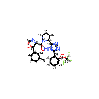 Cc1cccc(-c2ocnc2C(=O)N2CCCC2c2nnc(-c3ccccc3OC(F)(F)F)[nH]2)c1